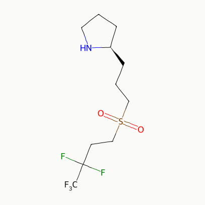 O=S(=O)(CCC[C@@H]1CCCN1)CCC(F)(F)C(F)(F)F